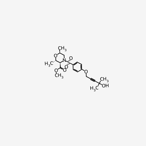 COC(=O)[C@H]1[C@H](C)O[C@@H](C)CN1S(=O)(=O)c1ccc(OCC#CC(C)(C)O)cc1